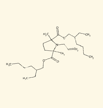 C=CCN1C(C)(C(=O)OCC(CC)CCCC)CCC1(C)C(=O)OCC(CC)CCCC